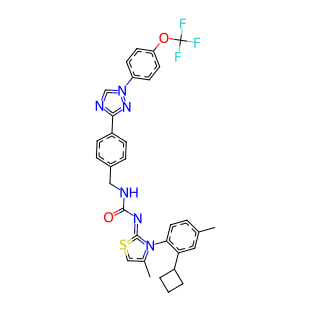 Cc1ccc(-n2c(C)cs/c2=N\C(=O)NCc2ccc(-c3ncn(-c4ccc(OC(F)(F)F)cc4)n3)cc2)c(C2CCC2)c1